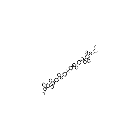 CCCCC(CC)COc1cc(OC)c(C(=O)Oc2ccc(C(=O)Oc3ccc(C(C)(C)c4ccc(OC(=O)c5ccc(OC(=O)c6cc(OC)c(OCC(C)C)cc6OC)cc5)cc4)cc3)cc2)cc1OC